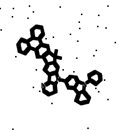 CC1(C)c2cc3c4ccccc4c4ccccc4c3cc2-c2cc3c4ncccc4n(-c4ccc5c(c4)c4ccccc4n5-c4ccccc4)c3cc21